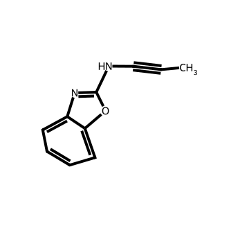 CC#CNc1nc2ccccc2o1